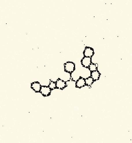 c1ccc(N(c2ccc3c(c2)sc2c4ccccc4ccc32)c2ccc3sc4ccc5oc6c7ccccc7ccc6c5c4c3c2)cc1